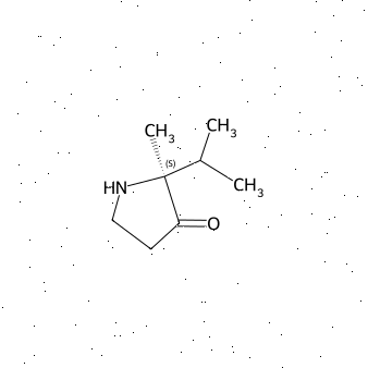 CC(C)[C@]1(C)NCCC1=O